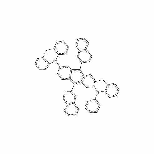 c1ccc(N2c3ccccc3Cc3cc4c(-c5ccc6ccccc6c5)c5cc(N6c7ccccc7Cc7ccccc76)ccc5c(-c5ccc6ccccc6c5)c4cc32)cc1